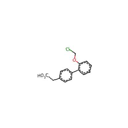 O=C(O)Cc1ccc(-c2ccccc2OCCl)cc1